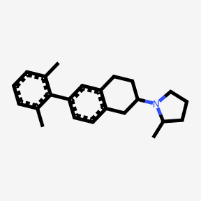 Cc1cccc(C)c1-c1ccc2c(c1)CCC(N1CCCC1C)C2